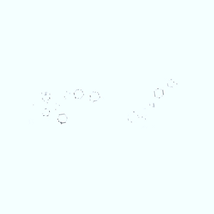 Cc1ncsc1-c1ccc(CNC(=O)[C@@H]2C[C@@H](O)CN2C(=O)[C@@H](NC(=O)COCCCOc2ccc(-c3ccc(NC(=O)C[C@@H]4N=C(c5ccc(Cl)cc5)c5c(sc(C)c5C)-n5c(C)nnc54)c(F)c3)nc2)C(C)(C)C)cc1